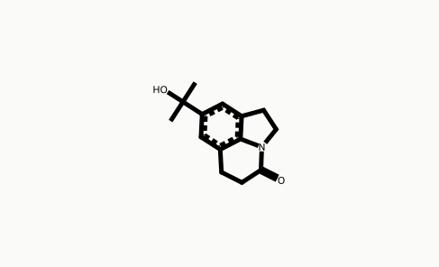 CC(C)(O)c1cc2c3c(c1)CCN3C(=O)CC2